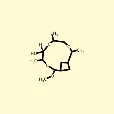 COC1CC(C)[C@H](O)CC(C)CCC(C)C2CC1C2